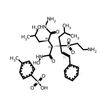 CC(C)C[C@@H](C(=O)NN)[C@@H](C(=O)NO)C(/C=C/c1ccccc1)(CC(C)C)S(=O)(=O)CCN.Cc1ccc(S(=O)(=O)O)cc1